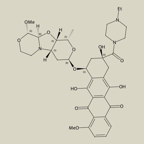 CCN1CCN(C(=O)[C@]2(O)Cc3c(O)c4c(c(O)c3[C@@H](O[C@H]3C[C@H]5[C@H](O[C@@H]6[C@@H](OC)OCCN65)[C@H](C)O3)C2)C(=O)c2c(OC)cccc2C4=O)CC1